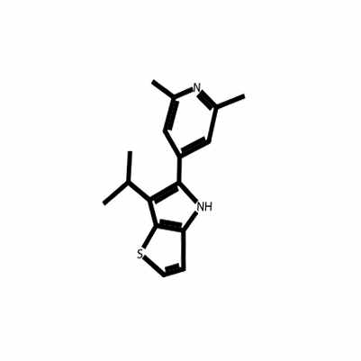 Cc1cc(-c2[nH]c3ccsc3c2C(C)C)cc(C)n1